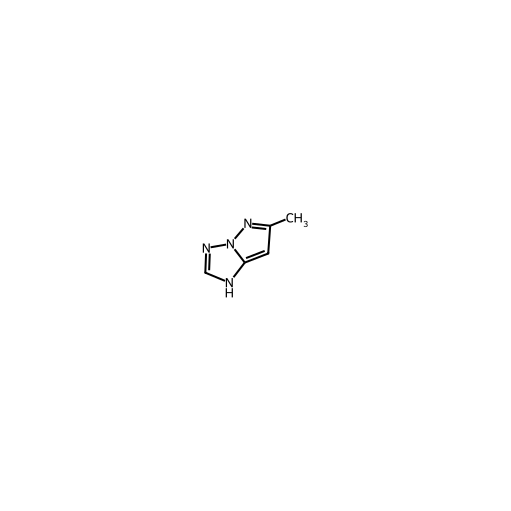 Cc1cc2[nH]cnn2n1